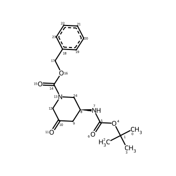 CC(C)(C)OC(=O)N[C@H]1CC(=O)CN(C(=O)OCc2ccccc2)C1